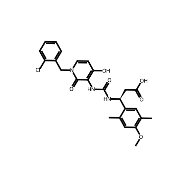 COc1cc(C)c([C@H](CC(=O)O)NC(=O)Nc2c(O)ccn(Cc3ccccc3Cl)c2=O)cc1C